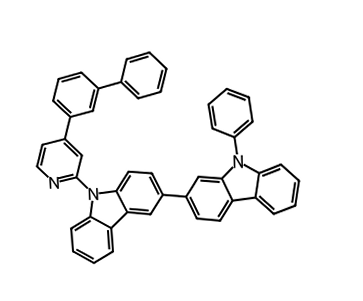 c1ccc(-c2cccc(-c3ccnc(-n4c5ccccc5c5cc(-c6ccc7c8ccccc8n(-c8ccccc8)c7c6)ccc54)c3)c2)cc1